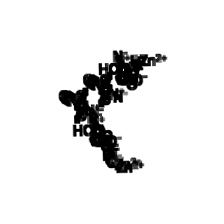 CCOC1=CC(N2CCOCC2)=C(OCC)CC1=[N+]=[N-].CCOC1=CC(N2CCOCC2)=C(OCC)CC1=[N+]=[N-].F[B-](F)(F)F.F[B-](F)(F)F.[Cl-].[Cl-].[N-]=[N+]=C1C=Cc2c(cccc2S(=O)(=O)[O-])C1O.[N-]=[N+]=C1C=Cc2c(cccc2S(=O)(=O)[O-])C1O.[Zn+2].[Zn+2].[Zn+2]